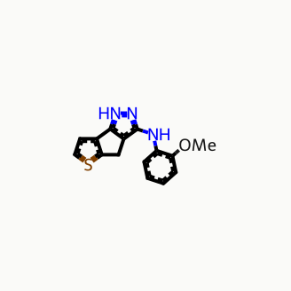 COc1ccccc1Nc1n[nH]c2c1Cc1sccc1-2